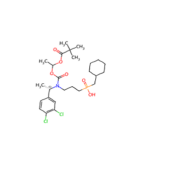 CC(OC(=O)N(CCCP(=O)(O)CC1CCCCC1)[C@@H](C)c1ccc(Cl)c(Cl)c1)OC(=O)C(C)(C)C